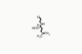 CN(C)CCCNCCCl.Cl.Cl